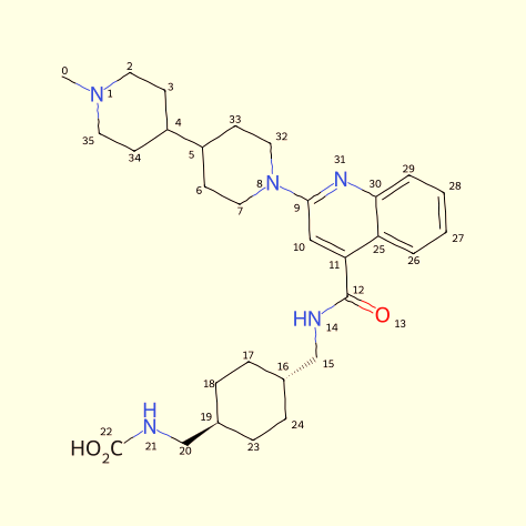 CN1CCC(C2CCN(c3cc(C(=O)NC[C@H]4CC[C@H](CNC(=O)O)CC4)c4ccccc4n3)CC2)CC1